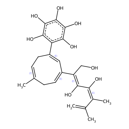 C=C(C)\C(C)=C(O)/C(O)=C(CO)/C1=C/C/C(C)=C\C/C(c2c(O)c(O)c(O)c(O)c2O)=C\1